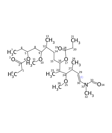 CCC(=O)OC(CC)CC(OC)C(C)CCC(OC(=O)CC)C(C)C(OC)C(C)/C=C/N(C)C=O